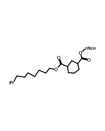 CCCCCCCCCOC(=O)C1CCCC(C(=O)OCCCCCCCC(C)C)C1